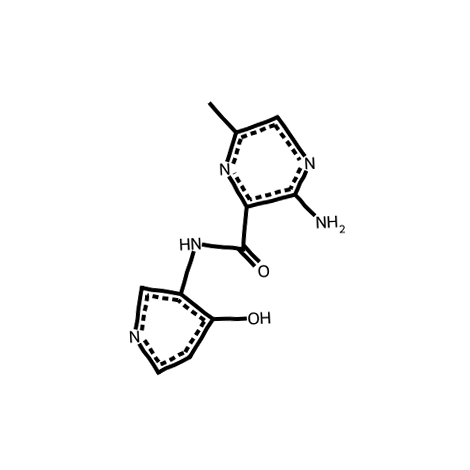 Cc1cnc(N)c(C(=O)Nc2cnccc2O)n1